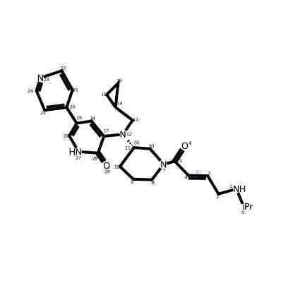 CC(C)NC/C=C/C(=O)N1CCC[C@H](N(CC2CC2)c2cc(-c3ccncc3)c[nH]c2=O)C1